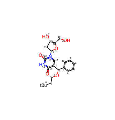 CC(C)(C)CCOC(c1ccccc1)c1cn([C@H]2C[C@H](O)[C@@H](CO)O2)c(=O)[nH]c1=O